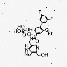 CCOc1cc(C(=O)N(C)Cc2cnc(CO)c3cn[nH]c23)ccc1-c1cc(F)cc(F)c1.O=P(O)(O)O